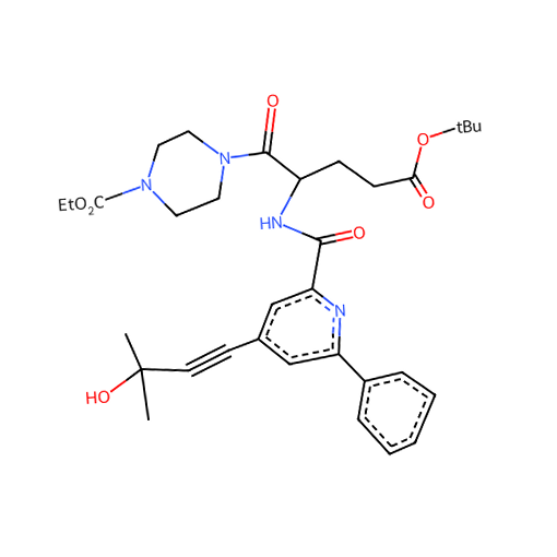 CCOC(=O)N1CCN(C(=O)C(CCC(=O)OC(C)(C)C)NC(=O)c2cc(C#CC(C)(C)O)cc(-c3ccccc3)n2)CC1